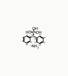 N.OP(O)(O)=S(c1ccccc1)c1ccccc1